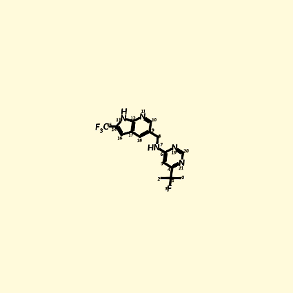 CC(C)(F)c1cc(NCc2cnc3[nH]c(C(F)(F)F)cc3c2)ncn1